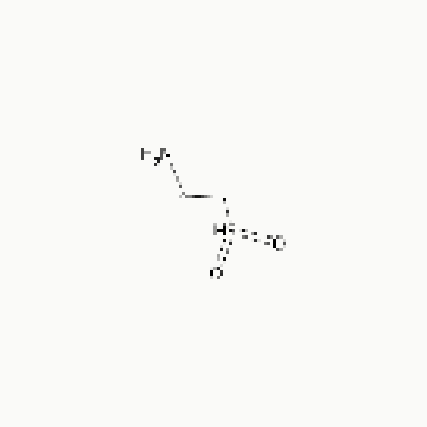 N[CH]C[SH](=O)=O